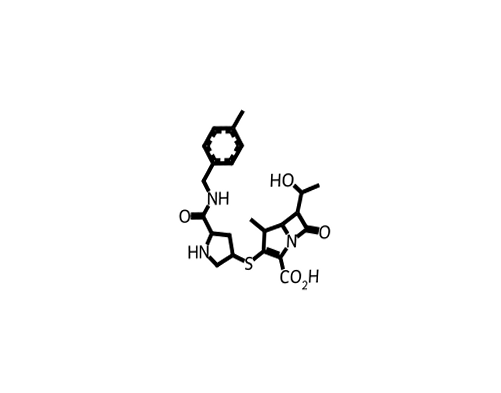 Cc1ccc(CNC(=O)C2CC(SC3=C(C(=O)O)N4C(=O)C(C(C)O)C4C3C)CN2)cc1